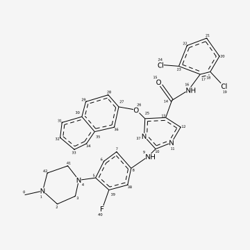 CN1CCN(c2ccc(Nc3ncc(C(=O)Nc4c(Cl)cccc4Cl)c(Oc4ccc5ccccc5c4)n3)cc2F)CC1